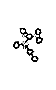 C1=Cc2c(oc3c(-c4nc(-c5ccccc5)nc(-c5ccc(-c6ccccc6)cc5)n4)cc(-n4c5ccccc5c5ccccc54)cc23)CC1